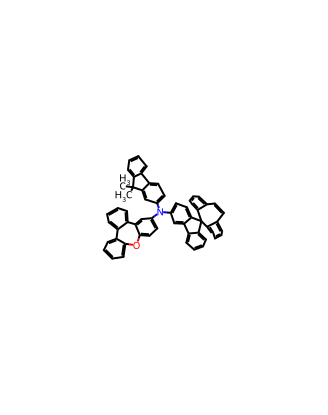 CC1(C)c2ccccc2-c2ccc(N(c3ccc4c(c3)-c3ccccc3-c3ccccc3O4)c3ccc4c(c3)-c3ccccc3C43c4ccccc4C=Cc4ccccc43)cc21